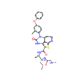 CCC[C@@H](NC(=O)CNC)[C@@H](C)NC(=O)c1sc2nccc3c2c1NC(=O)N3c1ccc(Oc2ccccc2)cc1C